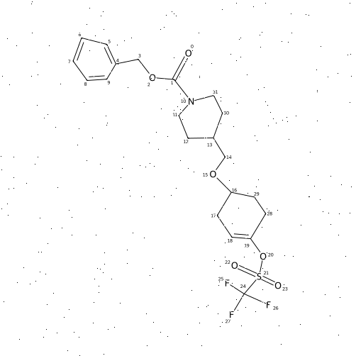 O=C(OCc1ccccc1)N1CCC(COC2CC=C(OS(=O)(=O)C(F)(F)F)CC2)CC1